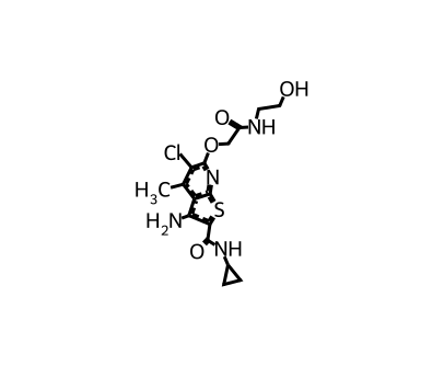 Cc1c(Cl)c(OCC(=O)NCCO)nc2sc(C(=O)NC3CC3)c(N)c12